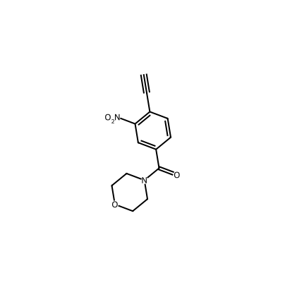 C#Cc1ccc(C(=O)N2CCOCC2)cc1[N+](=O)[O-]